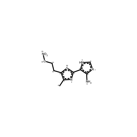 Cc1nc(-c2[nH]cnc2N)sc1CCO[N+](=O)[O-]